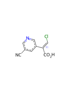 N#Cc1cncc(/C(=C\Cl)C(=O)O)c1